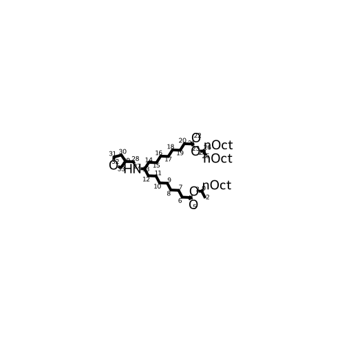 CCCCCCCCC(C)OC(=O)CCCCCCCC(CCCCCCCC(=O)OC(CCCCCCCC)CCCCCCCC)NCC1CCOC1